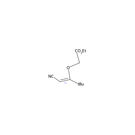 CCOC(=O)CO/C(=C\C#N)C(C)(C)C